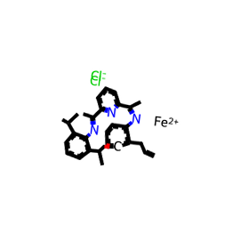 C=CCc1ccccc1N=C(C)c1cccc(C(C)=Nc2c(C(C)C)cccc2C(C)C)n1.[Cl-].[Cl-].[Fe+2]